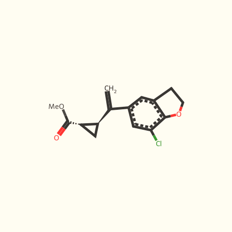 C=C(c1cc(Cl)c2c(c1)CCO2)[C@H]1C[C@@H]1C(=O)OC